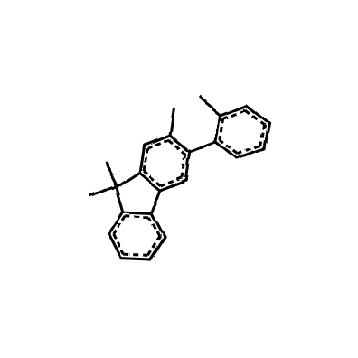 Cc1ccccc1-c1cc2c(cc1C)C(C)(C)c1ccccc1-2